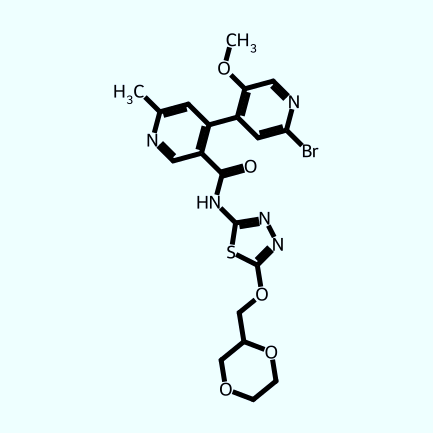 COc1cnc(Br)cc1-c1cc(C)ncc1C(=O)Nc1nnc(OCC2COCCO2)s1